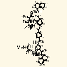 CCN[C@@H](C)C(=O)N[C@H](C(=O)N1Cc2cc(OCc3ccc(C(=O)N[C@H]4C[C@@H](C(=O)N[C@@H]5CCCc6ccccc65)N(C(=O)[C@@H](NC(=O)[C@H](C)NC)C(C)(C)C)C4)cc3)ccc2C[C@H]1C(=O)N[C@@H]1CCCc2ccccc21)C(C)(C)C